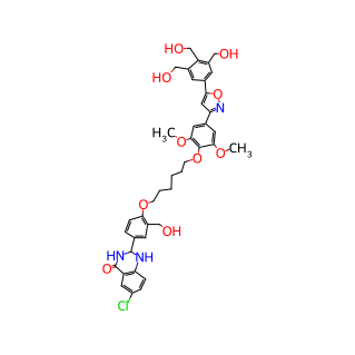 COc1cc(-c2cc(-c3cc(CO)c(CO)c(CO)c3)on2)cc(OC)c1OCCCCCCOc1ccc(C2NC(=O)c3cc(Cl)ccc3N2)cc1CO